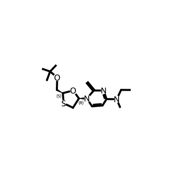 C=C1N=C(N(C)CC)C=CN1[C@H]1CS[C@@H](COC(C)(C)C)O1